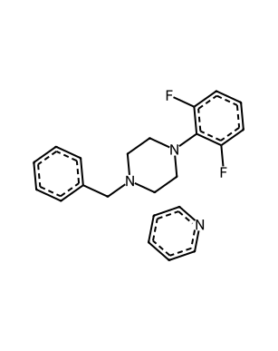 Fc1cccc(F)c1N1CCN(Cc2ccccc2)CC1.c1ccncc1